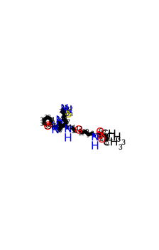 CC(C)(C)OC(=O)NCCCCOCCNc1cc(-c2cnns2)nc2c1cnn2C1CCCCO1